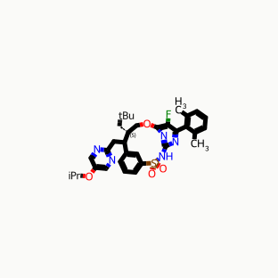 Cc1cccc(C)c1-c1nc2nc(c1F)OC[C@@H](CC(C)(C)C)C(Cc1ncc(OC(C)C)cn1)c1cccc(c1)S(=O)(=O)N2